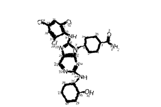 NC(=O)[C@H]1CC[C@@H](n2c(Nc3c(Cl)cc(Cl)cc3Cl)nc3cnc(N[C@@H]4CCCC[C@@H]4O)nc32)CC1